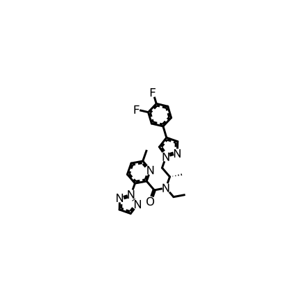 CCN(C(=O)c1nc(C)ccc1-n1nccn1)[C@@H](C)Cn1cc(-c2ccc(F)c(F)c2)cn1